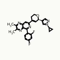 Cc1nc2cc(C3=C[C@H](c4cnn(C5CC5)c4)OCC3)nc(-c3ccc(F)cc3F)c2nc1C